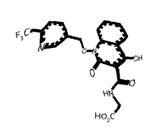 O=C(O)CNC(=O)c1c(O)c2ccccc2n(OCc2ccc(C(F)(F)F)nc2)c1=O